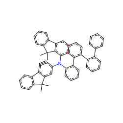 CC1(C)c2cc(N(c3ccccc3-c3ccccc3-c3ccccc3-c3ccccc3)c3cccc4c3C(C)(C)c3ccccc3-4)c#cc2-c2ccccc21